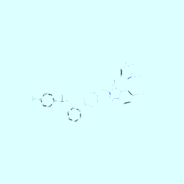 CC1(c2ccc(Cl)cc2F)Oc2cccc(C3CCN(CC4=NC5C=CC(C(=O)O)=CC5N4C/C(C=N)=C/N)CC3)c2O1